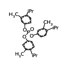 Cc1cc(OP(=O)(Oc2ccc(C(C)C)c(C)c2)Oc2ccc(C(C)C)c(C)c2)ccc1C(C)C